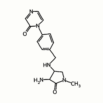 CN1CC(NCc2ccc(-n3ccncc3=O)cc2)C(N)C1=O